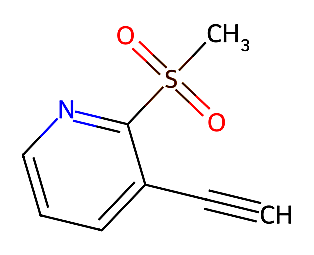 C#Cc1cccnc1S(C)(=O)=O